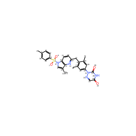 Cc1ccc(S(=O)(=O)n2cc(C(C)C)c3nc(Cc4c(C)cc(-n5ncc(=O)[nH]c5=O)cc4C)ccc32)cc1